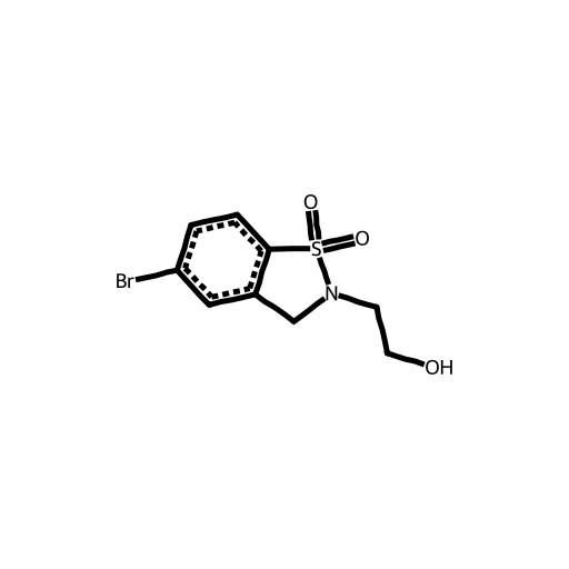 O=S1(=O)c2ccc(Br)cc2CN1CCO